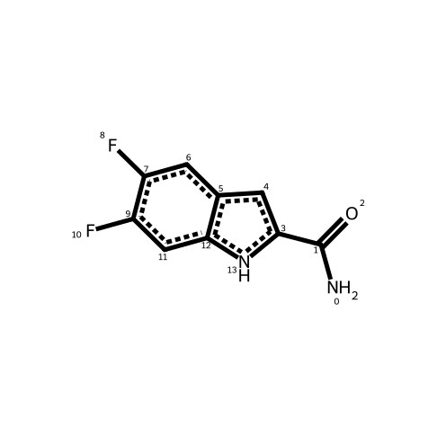 NC(=O)c1cc2cc(F)c(F)cc2[nH]1